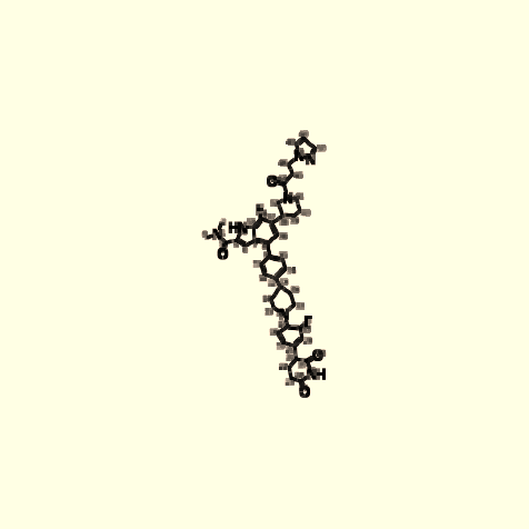 CN(C)C(=O)c1cc2c(-c3ccc(C4CCN(c5ccc(C6CCC(=O)NC6=O)cc5F)CC4)cc3)cc(C3=CCCN(C(=O)CCn4cccn4)C3)c(F)c2[nH]1